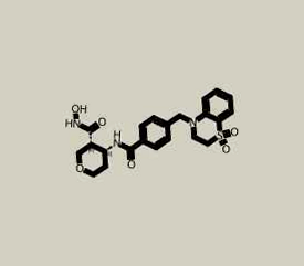 O=C(N[C@@H]1CCOC[C@@H]1C(=O)NO)c1ccc(CN2CCS(=O)(=O)c3ccccc32)cc1